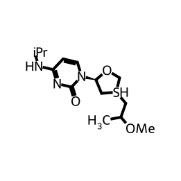 COC(C)C[SH]1CO[C@H](n2ccc(NC(C)C)nc2=O)C1